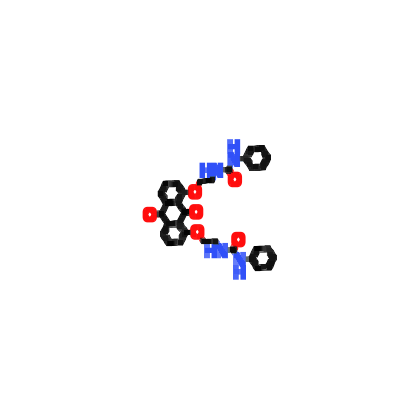 O=C(NCCOc1cccc2c1C(=O)c1c(OCCNC(=O)Nc3ccccc3)cccc1C2=O)Nc1ccccc1